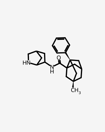 C[C@@]12CC3CC(C(=O)NC4CC5CNC4C5)(C1)[C@](c1ccccc1)(C3)C2